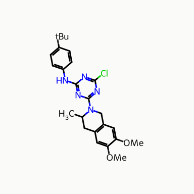 COc1cc2c(cc1OC)CN(c1nc(Cl)nc(Nc3ccc(C(C)(C)C)cc3)n1)C(C)C2